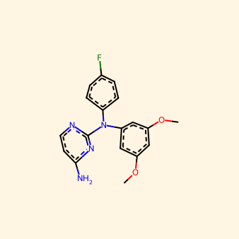 COc1cc(OC)cc(N(c2ccc(F)cc2)c2nccc(N)n2)c1